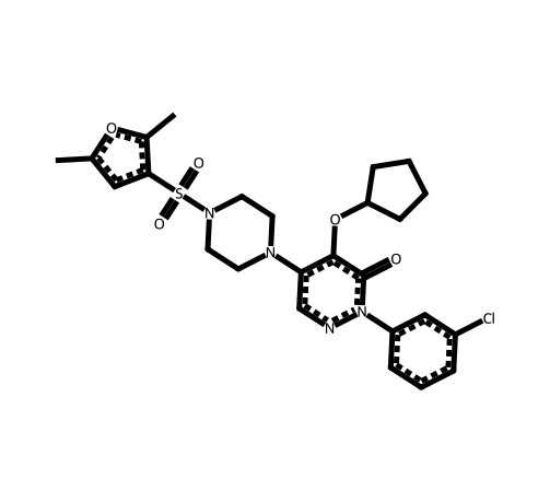 Cc1cc(S(=O)(=O)N2CCN(c3cnn(-c4cccc(Cl)c4)c(=O)c3OC3CCCC3)CC2)c(C)o1